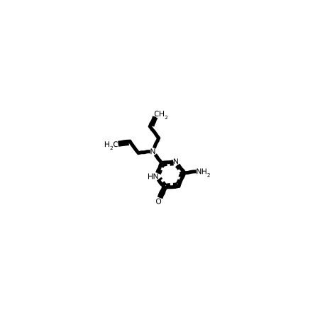 C=CCN(CC=C)c1nc(N)cc(=O)[nH]1